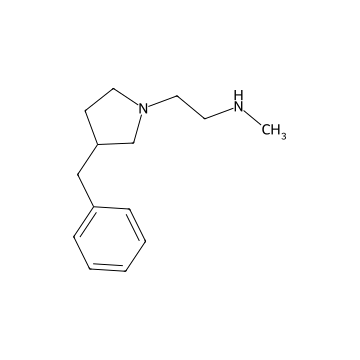 CNCCN1CCC(Cc2ccccc2)C1